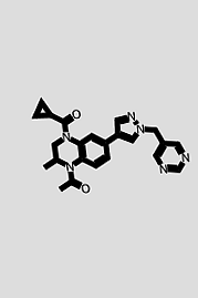 CC(=O)N1c2ccc(-c3cnn(Cc4cncnc4)c3)cc2N(C(=O)C2CC2)CC1C